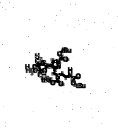 CC(C)(C)OC(=O)NCCN(Cc1nn(C(=O)OC(C)(C)C)cc1B1OC(C)(C)C(C)(C)O1)C(=O)OC(C)(C)C